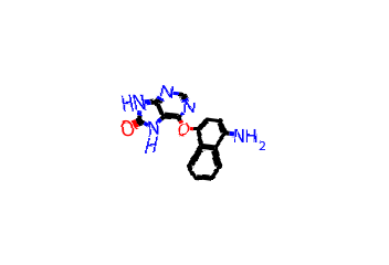 Nc1ccc(Oc2ncnc3[nH]c(=O)[nH]c23)c2ccccc12